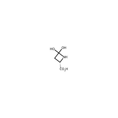 O=C(O)[C@@H]1CC(O)(O)N1